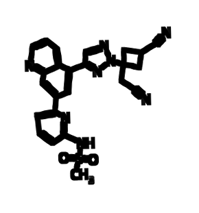 CS(=O)(=O)Nc1cccc(-c2cc(-c3cnn(C4(CC#N)CC(C#N)C4)n3)c3cccnc3c2)n1